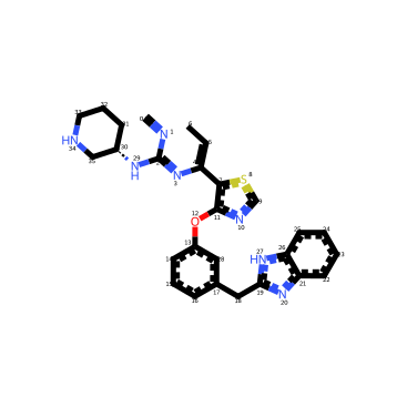 C=N/C(=N\C(=C/C)c1scnc1Oc1cccc(Cc2nc3ccccc3[nH]2)c1)N[C@H]1CCCNC1